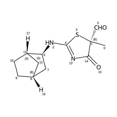 C[C@]1(C=O)SC(N[C@H]2C[C@@H]3CC[C@H]2C3)=NC1=O